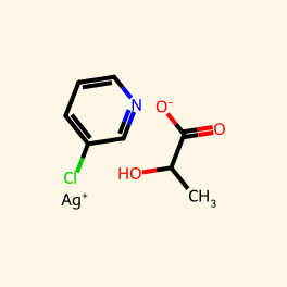 CC(O)C(=O)[O-].Clc1cccnc1.[Ag+]